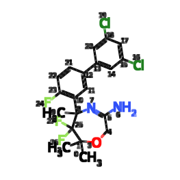 CC1(C)OCC(N)=NC(C)(c2cc(-c3cc(Cl)cc(Cl)c3)ccc2F)C1(F)F